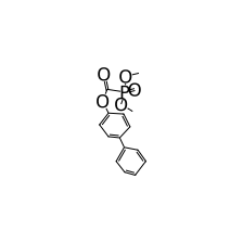 COP(=O)(OC)C(=O)Oc1ccc(-c2ccccc2)cc1